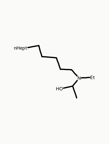 CCCCCCCCCCCCN(CC)C(C)O